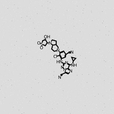 N#Cc1cc(Nc2nc(NC3CC3)c3ncc(C#N)n3n2)c(Cl)c(N2CCC3C(CCN3[C@H]3CS(=O)(=O)C[C@@H]3O)C2)c1